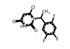 CC(c1cc(F)c(F)cc1F)n1c(Cl)cc(=O)[nH]c1=O